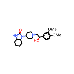 COc1ccc(C(O)CN2CCC(N3C(=O)NC4CCCCC43)CC2)cc1OC